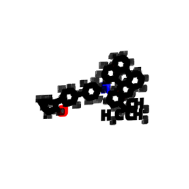 CC(C)(C)c1ccc(N(c2ccc(-c3ccc4c(c3)oc3cc5cc-5c34)cc2)c2ccccc2-c2cccc3cccc(-c4ccccc4)c23)cc1